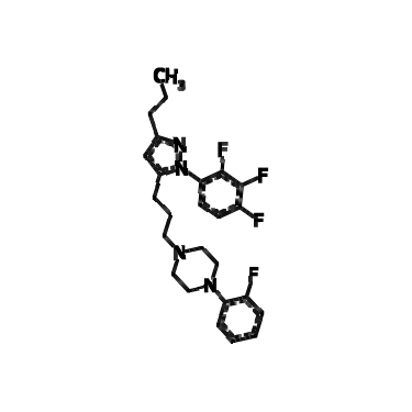 CCCc1cc(CCCN2CCN(c3ccccc3F)CC2)n(-c2ccc(F)c(F)c2F)n1